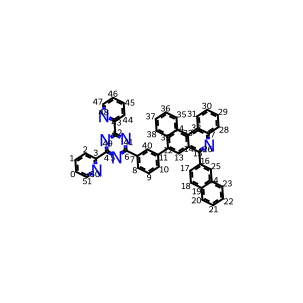 c1ccc(-c2nc(-c3cccc(-c4cc5c(-c6ccc7ccccc7c6)nc6ccccc6c5c5ccccc45)c3)nc(-c3ccccn3)n2)nc1